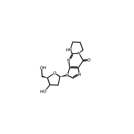 O=c1c2ncn([C@H]3CC(O)[C@@H](CO)O3)c2nc2n1CCCN2